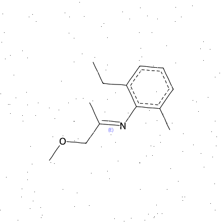 CCc1cccc(C)c1/N=C(\C)COC